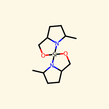 CC1CCC2CO[Si]3(OCC4CCC(C)N43)N12